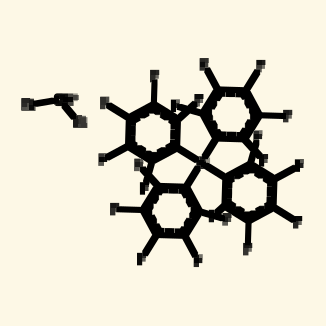 CC[OH+]CC.Fc1c(F)c(F)c([B-](c2c(F)c(F)c(F)c(F)c2F)(c2c(F)c(F)c(F)c(F)c2F)c2c(F)c(F)c(F)c(F)c2F)c(F)c1F